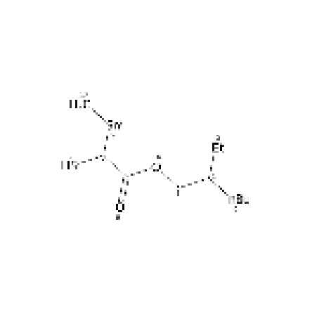 CCCCC(CC)COC(=O)[CH](S)[Sn][CH3]